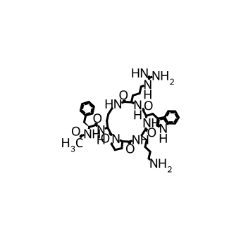 CC(=O)N[C@@H](Cc1ccccc1)C(=O)NC1CCCNC(=O)C(CCCNC(=N)N)NC(=O)C(Cc2c[nH]c3ccccc23)NC(=O)[C@@H](CCCCN)NC(=O)C2CCCN2C1=O